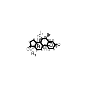 C[C@H]1[C@@H]2[C@H](CC[C@]3(C)C(=O)CC[C@@H]23)[C@@]2(C)CCC(=O)C=C2[C@@H]1Br